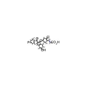 Cc1cc(F)cc(C)c1C(=O)c1sc2cc(O)ccc2c1Oc1ccc(/C=C/C(=O)O)c(Cl)c1